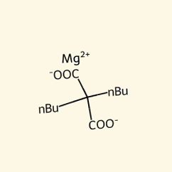 CCCCC(CCCC)(C(=O)[O-])C(=O)[O-].[Mg+2]